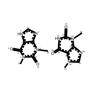 Cn1c(=O)c2[nH]cnc2n(C)c1=O.Cn1cnc2c1c(=O)[nH]c(=O)n2C